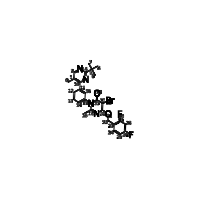 Cc1cnc(C(C)(C)C)nc1-c1cccc(-n2c(C)nc(OCc3ccc(F)cc3F)c(Br)c2=O)c1